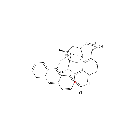 C=CC1C[N@H+]2CCC1CC2(Cc1c2ccccc2cc2ccccc12)C(O)c1ccnc2ccc(OC)cc12.[Cl-]